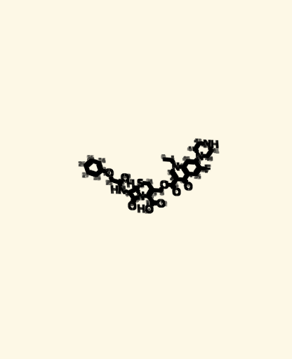 CCn1cc(C(=O)OCC2=C(C(=O)O)N3C(=O)[C@@H](NC(=O)COc4ccccc4)[C@H]3SC2)c(=O)c2cc(F)c(N3CCNCC3)cc21